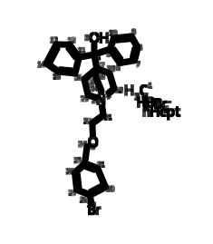 Br.CCCCCCCC.OC(c1ccccc1)(c1ccccc1)C12CC[N+](CCOCc3ccc(Br)cc3)(CC1)CC2.[Br-]